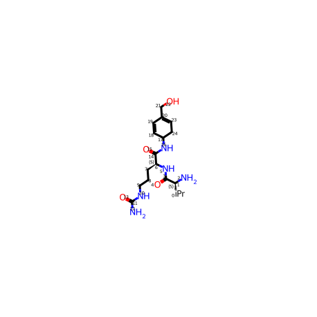 CC(C)[C@H](N)C(=O)N[C@@H](CCCNC(N)=O)C(=O)NC1C=CC(CO)=CC1